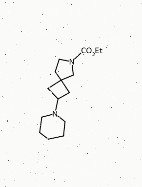 CCOC(=O)N1CCC2(CC(N3CCCCC3)C2)C1